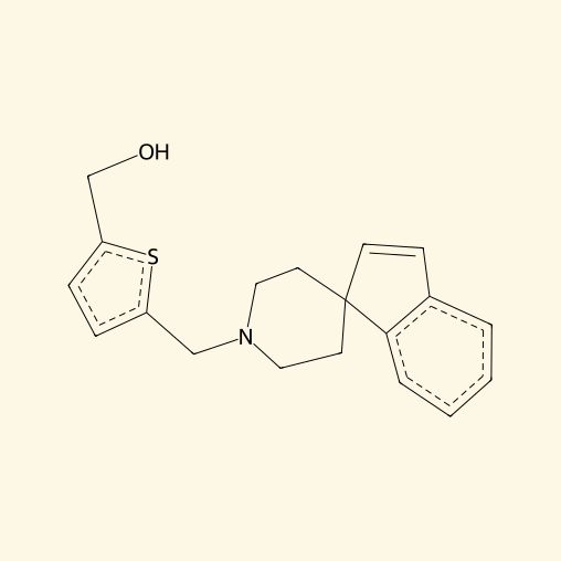 OCc1ccc(CN2CCC3(C=Cc4ccccc43)CC2)s1